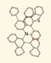 c1ccc(-c2ccc(N(c3ccccc3-c3cccc4c3sc3ccccc34)c3c(-c4cccc5ccccc45)c4ccccc4c4ccccc34)cc2-c2ccccc2)cc1